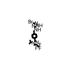 CC(C)n1cc(C(F)(F)F)nc1-c1ccc(CNc2nc(Br)n[nH]2)cc1